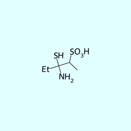 CCC(N)(S)C(C)S(=O)(=O)O